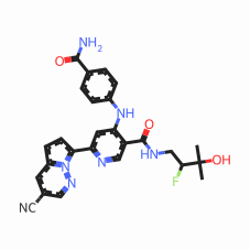 CC(C)(O)C(F)CNC(=O)c1cnc(-c2ccc3cc(C#N)cnn23)cc1Nc1ccc(C(N)=O)cc1